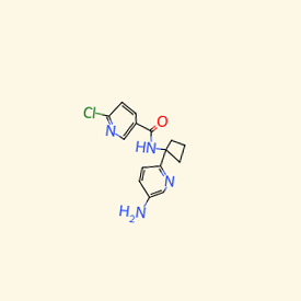 Nc1ccc(C2(NC(=O)c3ccc(Cl)nc3)CCC2)nc1